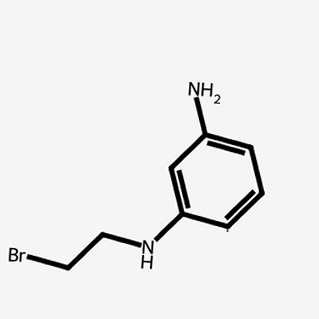 Nc1cc[c]c(NCCBr)c1